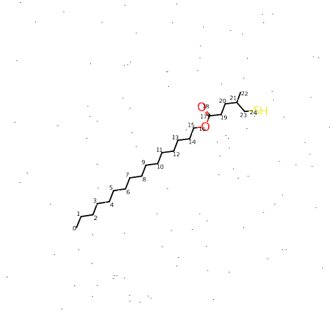 CCCCCCCCCCCCCCCCOC(=O)CCC(C)CS